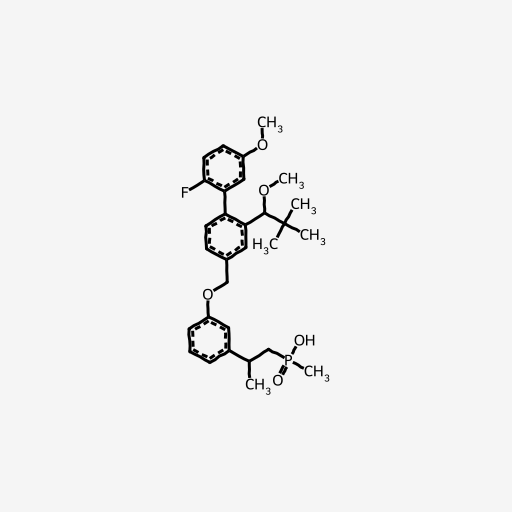 COc1ccc(F)c(-c2ccc(COc3cccc(C(C)CP(C)(=O)O)c3)cc2C(OC)C(C)(C)C)c1